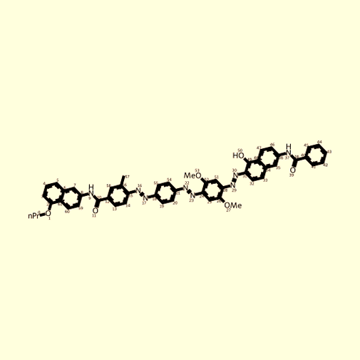 CCCOc1cccc2cc(NC(=O)c3ccc(N=Nc4ccc(N=Nc5cc(OC)c(N=Nc6ccc7cc(NC(=O)c8ccccc8)ccc7c6O)cc5OC)cc4)c(C)c3)ccc12